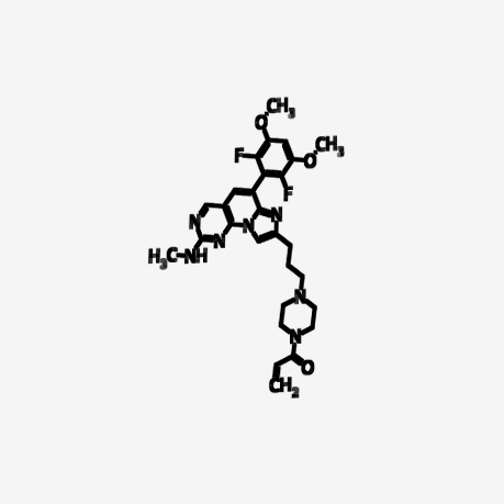 C=CC(=O)N1CCN(CCCc2cn3c(n2)c(-c2c(F)c(OC)cc(OC)c2F)cc2cnc(NC)nc23)CC1